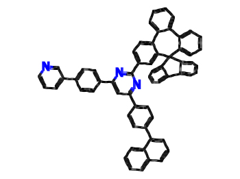 c1cncc(-c2ccc(-c3cc(-c4ccc(-c5cccc6ccccc56)cc4)nc(-c4ccc5c(c4)C4(c6ccccc6-c6ccccc6-5)c5ccccc5-c5ccccc54)n3)cc2)c1